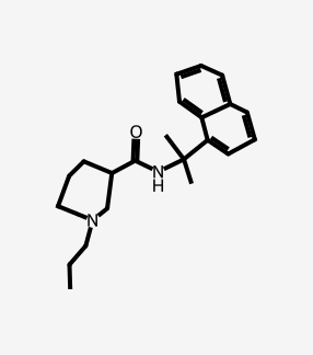 CCCN1CCCC(C(=O)NC(C)(C)c2cccc3ccccc23)C1